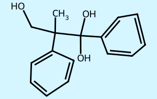 CC(CO)(c1ccccc1)C(O)(O)c1ccccc1